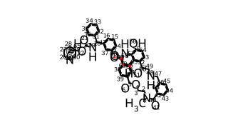 CN(CCOC(=O)c1ccc(COc2cccc(C(NC(=O)O[C@H]3CN4CCC3CC4)c3ccccc3)c2)cc1)C(=O)c1cccc(CNC[C@@H](O)c2ccc(O)c3[nH]c(=O)ccc23)c1